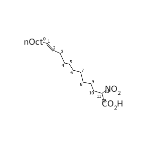 CCCCCCCCC=CCCCCCCCCC(C(=O)O)[N+](=O)[O-]